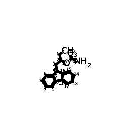 CCC(CC1c2ccccc2-c2ccccc21)OC(N)=O